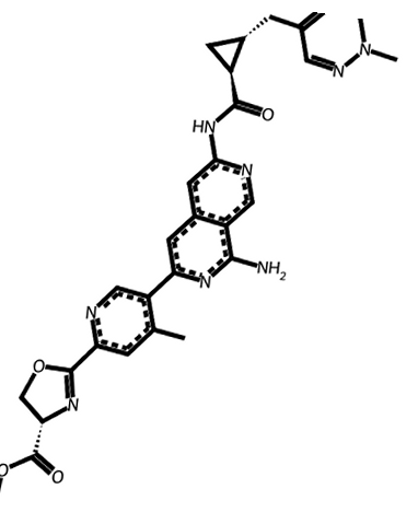 C=C(/C=N\N(C)C)C[C@H]1C[C@@H]1C(=O)Nc1cc2cc(-c3cnc(C4=N[C@H](C(=O)OC)CO4)cc3C)nc(N)c2cn1